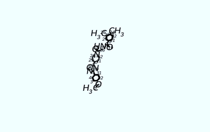 COc1ccc(-c2noc(C3CCN(C(=O)CNC(=O)c4ccc(C)c(C)c4)CC3)n2)cc1